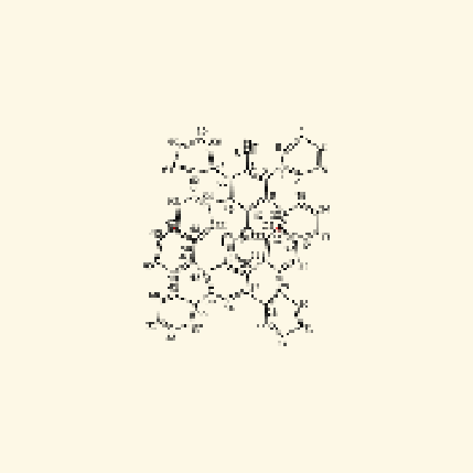 Brc1c(-c2ccccc2)c(-c2ccccc2)c(OOc2c(-c3ccccc3)c(-c3ccccc3)cc(-c3ccccc3)c2-c2ccccc2)c(-c2ccccc2)c1-c1ccccc1